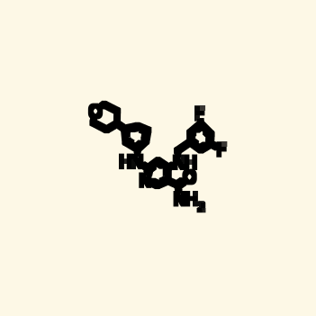 NC(=O)c1cnc(Nc2cccc(C3CCOCC3)c2)cc1NCc1cc(F)cc(F)c1